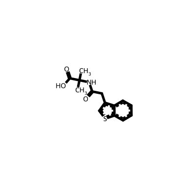 CC(C)(NC(=O)Cc1csc2ccccc12)C(=O)O